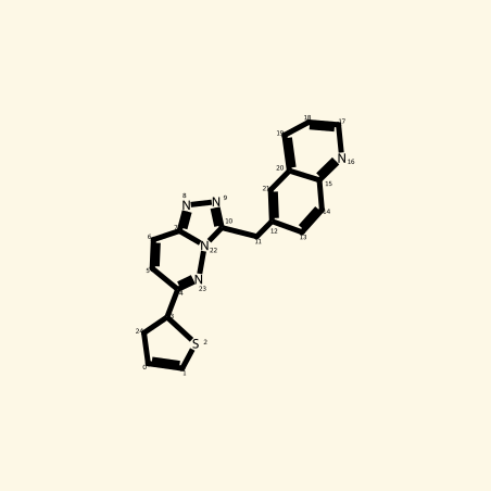 C1=CSC(c2ccc3nnc(Cc4ccc5ncccc5c4)n3n2)C1